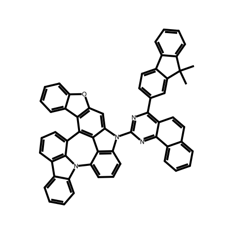 CC1(C)c2ccccc2-c2ccc(-c3nc(-n4c5cc6oc7ccccc7c6c6c7cccc8c9ccccc9n(c9cccc4c9c65)c87)nc4c3ccc3ccccc34)cc21